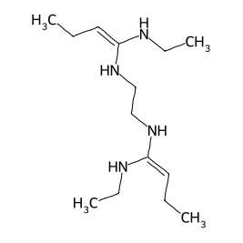 CC/C=C(/NCC)NCCN/C(=C/CC)NCC